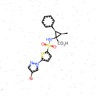 C[C@@H]1[C@H](c2ccccc2)[C@]1(NS(=O)(=O)c1ccc(-n2cc(Br)cn2)s1)C(=O)O